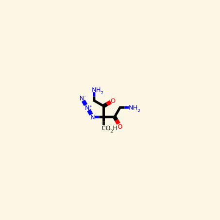 [N-]=[N+]=NC(C(=O)O)(C(=O)CN)C(=O)CN